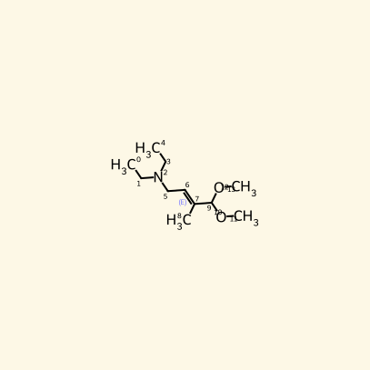 CCN(CC)C/C=C(\C)C(OC)OC